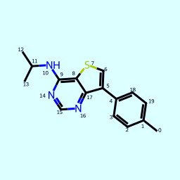 Cc1ccc(-c2csc3c(NC(C)C)ncnc23)cc1